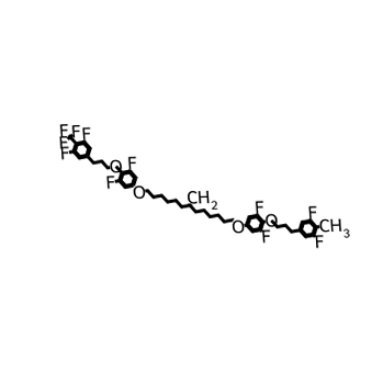 C=C(CCCCCCOc1cc(F)c(OCCCc2cc(F)c(C)c(F)c2)c(F)c1)CCCCCCOc1cc(F)c(OCCCc2cc(F)c(C(F)(F)F)c(F)c2)c(F)c1